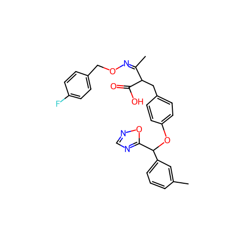 CC(=NOCc1ccc(F)cc1)C(Cc1ccc(OC(c2cccc(C)c2)c2ncno2)cc1)C(=O)O